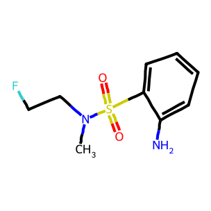 CN(CCF)S(=O)(=O)c1ccccc1N